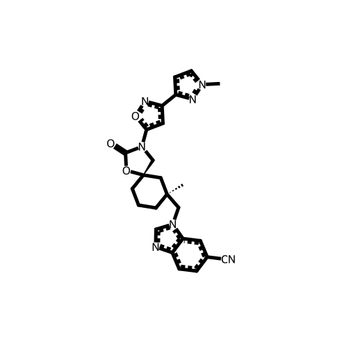 Cn1ccc(-c2cc(N3C[C@@]4(CCC[C@](C)(Cn5cnc6ccc(C#N)cc65)C4)OC3=O)on2)n1